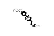 CCCCCCCCCCCCc1cnc(-c2ccc(CCCCCCCC)cc2)nc1